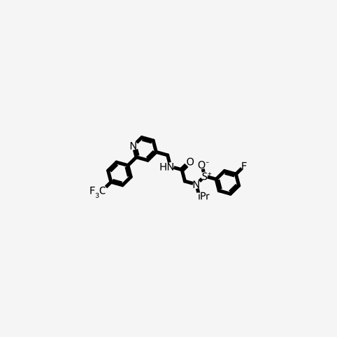 CC(C)N(CC(=O)NCc1ccnc(-c2ccc(C(F)(F)F)cc2)c1)[S+]([O-])c1cccc(F)c1